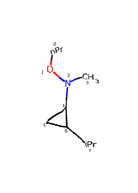 CCCON(C)C1CC1C(C)C